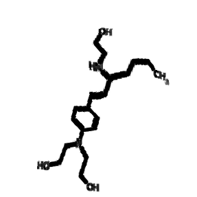 C\C=C/C=C(/C=C/c1ccc(N(CCO)CCO)cc1)NCCO